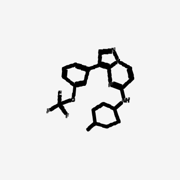 CC1CCC(Nc2ccn3ncc(-c4cccc(OC(F)(F)F)c4)c3n2)CC1